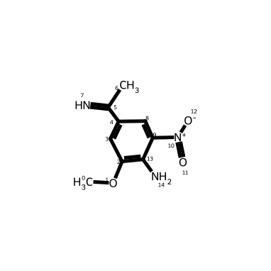 COc1cc(C(C)=N)cc([N+](=O)[O-])c1N